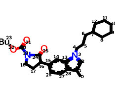 Cc1cn(CCCC2CCCCC2)c2cc(C3CCN(C(=O)OC(C)(C)C)C3=O)ccc12